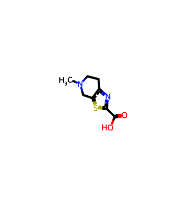 CN1CCc2nc(C(=O)O)sc2C1